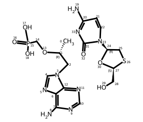 C[C@H](Cn1cnc2c(N)ncnc21)OCP(=O)(O)O.Nc1ccn([C@H]2CS[C@@H](CO)O2)c(=O)n1